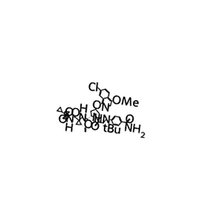 C=C[C@@H]1C[C@]1(NC(=O)[C@@H]1C[C@@H](Oc2ncc(OC)c3ccc(Cl)cc23)CN1C(=O)[C@@H](Nc1ccc(C(N)=O)cc1)C(C)(C)C)C(=O)NS(=O)(=O)C1CC1